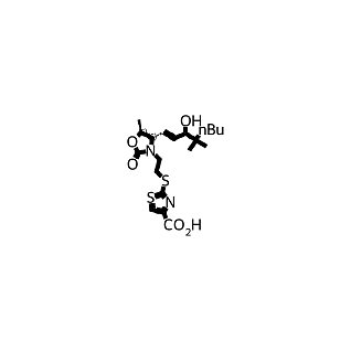 CCCCC(C)(C)C(O)C=C[C@H]1[C@H](C)OC(=O)N1CCSc1nc(C(=O)O)cs1